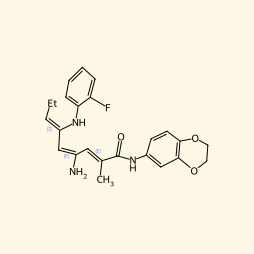 CC/C=C(/C=C(N)\C=C(/C)C(=O)Nc1ccc2c(c1)OCCO2)Nc1ccccc1F